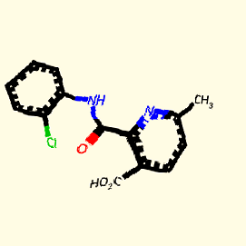 Cc1ccc(C(=O)O)c(C(=O)Nc2ccccc2Cl)n1